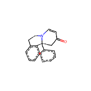 O=C1C=CN2CCc3ccccc3C2(c2ccccc2)C1